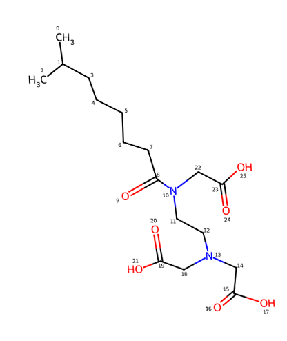 CC(C)CCCCCC(=O)N(CCN(CC(=O)O)CC(=O)O)CC(=O)O